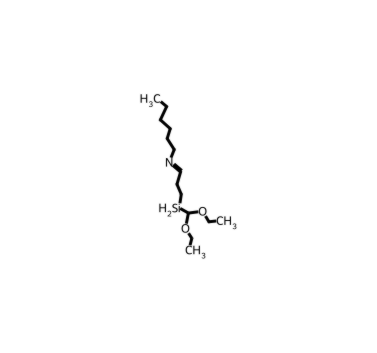 CCCCCCN=CCC[SiH2]C(OCC)OCC